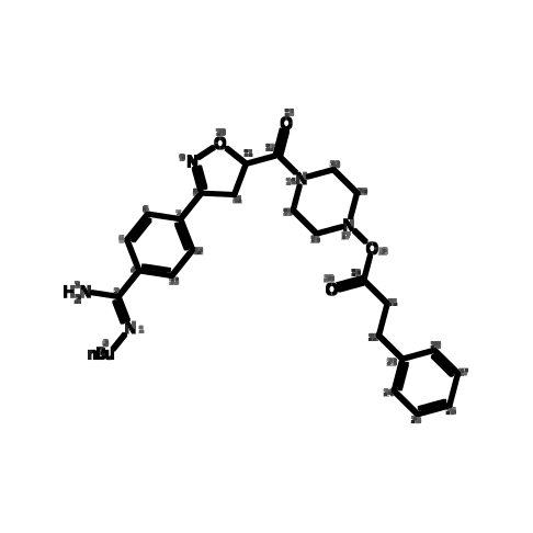 CCCCN=C(N)c1ccc(C2=NOC(C(=O)N3CCN(OC(=O)CCc4ccccc4)CC3)C2)cc1